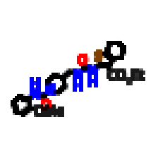 CCOC(=O)c1c(NC(=O)NCC2CCN(C(=O)Nc3ccccc3OC)CC2)sc2c1CCCC2